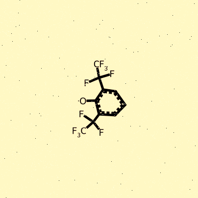 [O]c1c(C(F)(F)C(F)(F)F)cccc1C(F)(F)C(F)(F)F